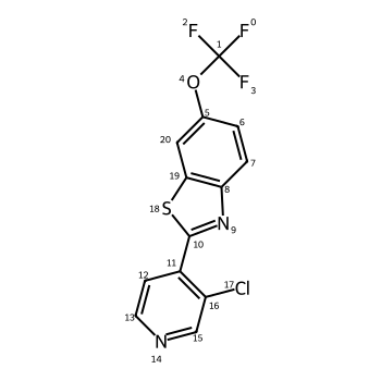 FC(F)(F)Oc1ccc2nc(-c3ccncc3Cl)sc2c1